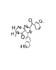 COc1cccc(C(=O)c2nc(N)c(C(N)=O)c(-c3ccc4c(c3)CNCC4)n2)c1